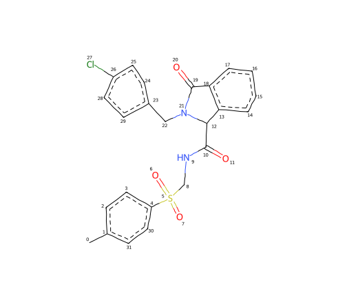 Cc1ccc(S(=O)(=O)CNC(=O)C2c3ccccc3C(=O)N2Cc2ccc(Cl)cc2)cc1